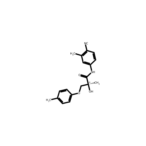 [C-]#[N+]c1ccc(NC(=O)[C@@](C)(O)COc2ccc(C)cc2)cc1C